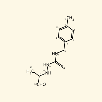 Cc1ccc(CNC(=S)NNC(C)C=O)cc1